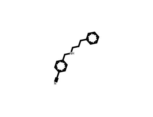 N#Cc1ccc(CNCCCc2ccccc2)cc1